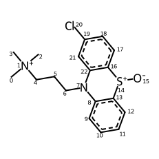 C[N+](C)(C)CCCN1c2ccccc2[S+]([O-])c2ccc(Cl)cc21